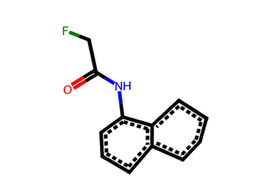 O=C(CF)Nc1cccc2ccccc12